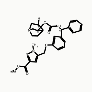 CCCCOC(=O)c1cc(COc2cccc([C@@H](NC(=O)O[C@H]3CN4CCC3CC4)c3ccccc3)c2)n(C)n1